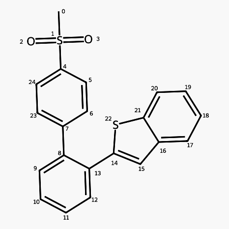 CS(=O)(=O)c1ccc(-c2ccccc2-c2cc3ccccc3s2)cc1